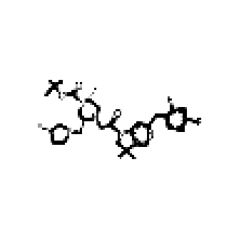 C[C@@H]1CN(CC(=O)N2CC(C)(C)c3cnc(Cc4ccc(F)cc4F)cc32)[C@@H](CN2CC[C@@H](F)C2)CN1C(=O)OC(C)(C)C